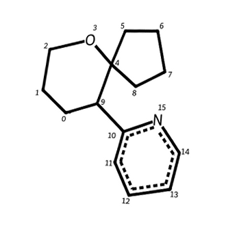 [CH]1CCOC2(CCCC2)C1c1ccccn1